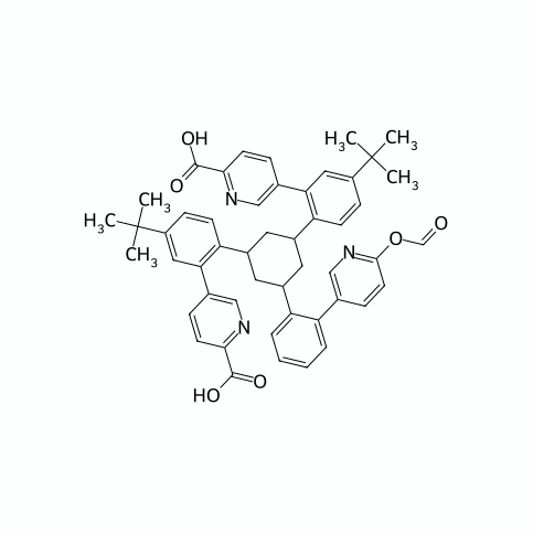 CC(C)(C)c1ccc(C2CC(c3ccccc3-c3ccc(OC=O)nc3)CC(c3ccc(C(C)(C)C)cc3-c3ccc(C(=O)O)nc3)C2)c(-c2ccc(C(=O)O)nc2)c1